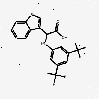 O=C(O)C(Nc1cc(C(F)(F)F)cc(C(F)(F)F)c1)c1csc2ccccc12